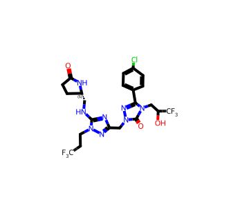 O=C1CC[C@@H](CNc2nc(Cn3nc(-c4ccc(Cl)cc4)n(CC(O)C(F)(F)F)c3=O)nn2CCC(F)(F)F)N1